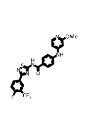 COc1cc(Nc2ccc(C(=O)Nc3nc(-c4ccc(F)c(C(F)(F)F)c4)ns3)cc2)ccn1